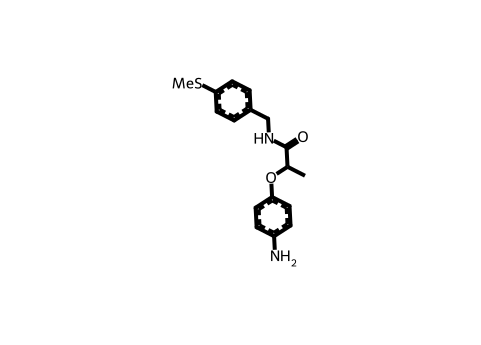 CSc1ccc(CNC(=O)C(C)Oc2ccc(N)cc2)cc1